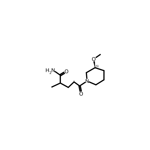 CO[C@H]1CCCN(C(=O)[CH]CC(C)C(N)=O)C1